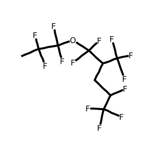 CC(F)(F)C(F)(F)OC(F)(F)C(CC(F)C(F)(F)F)C(F)(F)F